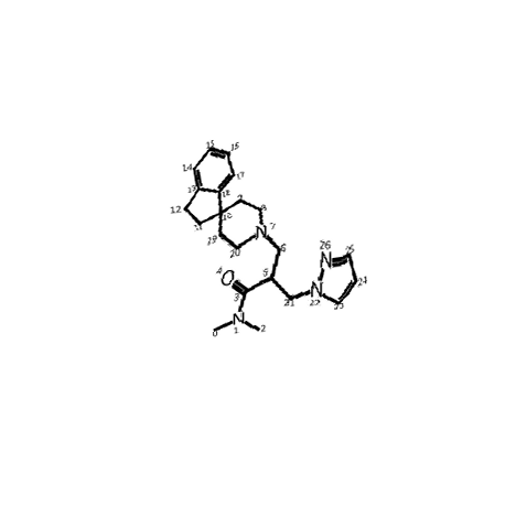 CN(C)C(=O)C(CN1CCC2(CCc3ccccc32)CC1)Cn1cccn1